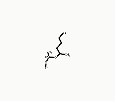 CCO[SiH](C)OC(C)CCCC(C)C